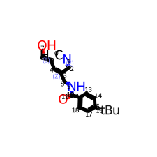 C\N=C/C(=C\C=C\O)CNC(=O)c1ccc(C(C)(C)C)cc1